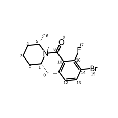 C[C@@H]1CCC[C@H](C)N1C(=O)c1cccc(Br)c1F